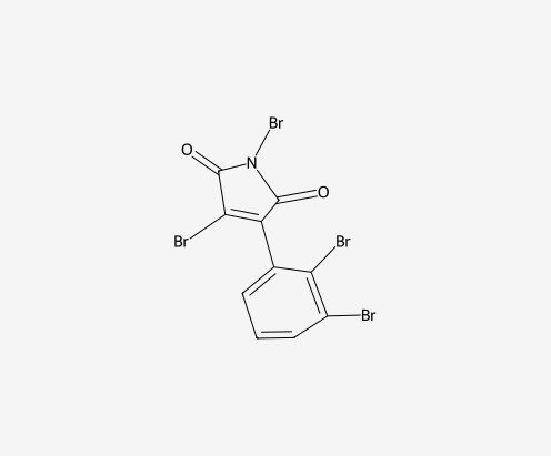 O=C1C(Br)=C(c2cccc(Br)c2Br)C(=O)N1Br